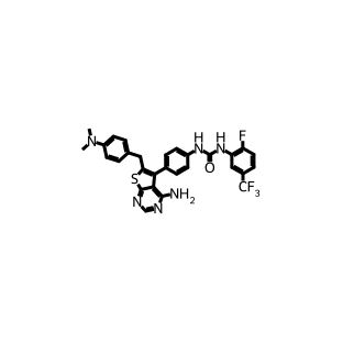 CN(C)c1ccc(Cc2sc3ncnc(N)c3c2-c2ccc(NC(=O)Nc3cc(C(F)(F)F)ccc3F)cc2)cc1